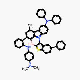 Cc1cc(-c2ccccc2Nc2ccc(N(C)C)cc2)c2c3c1c1cc(N(c4ccccc4)c4ccccc4)ccc1n3-c1c(sc3ccc(-c4ccccc4)cc13)B2